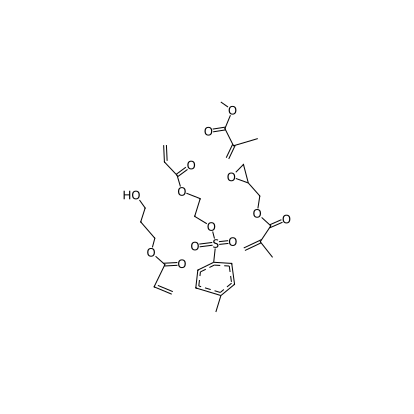 C=C(C)C(=O)OC.C=C(C)C(=O)OCC1CO1.C=CC(=O)OCCCO.C=CC(=O)OCCOS(=O)(=O)c1ccc(C)cc1